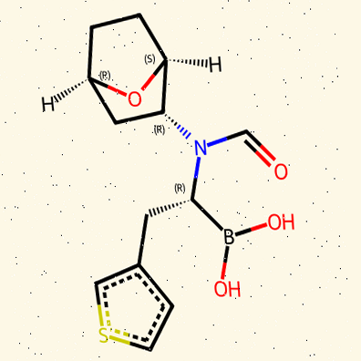 O=CN([C@@H]1C[C@H]2CC[C@@H]1O2)[C@@H](Cc1ccsc1)B(O)O